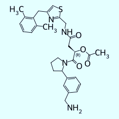 CC(=O)O[C@H](CC(=O)NCc1nc(Cc2c(C)cccc2C)cs1)C(=O)N1CCCC1c1cccc(CN)c1